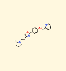 CC1CCCN1CCc1coc(-c2ccc(OCc3ccccn3)cc2)n1